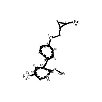 CC(=O)C1CC1COc1ccc(-c2cc(C(F)(F)F)cnc2SC(C)C)cc1